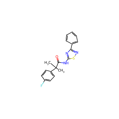 CC(C)(C(=O)Nc1nc(-c2ccccc2)ns1)c1ccc(F)cc1